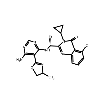 CC[C@H](Nc1ncnc(N)c1C1=NC(C)CO1)c1nc2cccc(Cl)c2c(=O)n1C1CC1